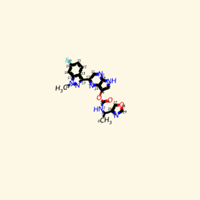 CC(NC(=O)Oc1c[nH]c2ncc(-c3nn(C)c4cc(F)ccc34)nc12)c1cocn1